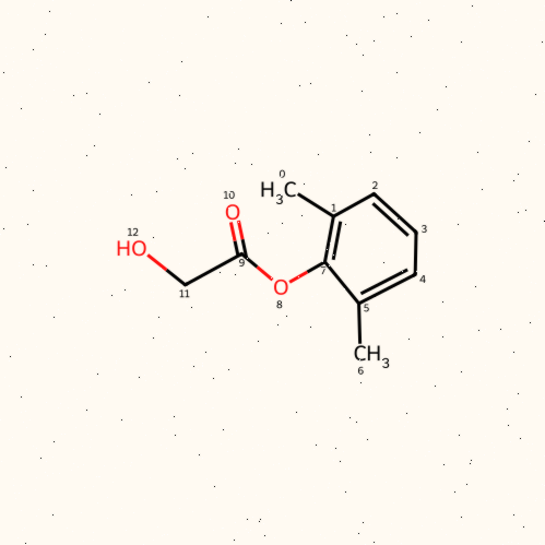 Cc1cccc(C)c1OC(=O)CO